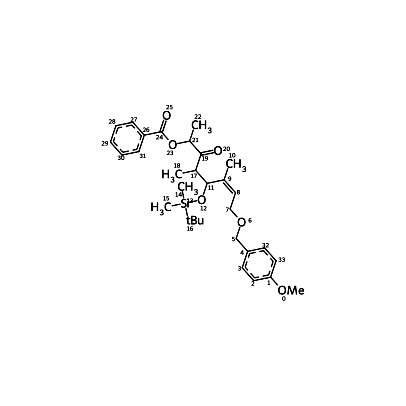 COc1ccc(COCC=C(C)C(O[Si](C)(C)C(C)(C)C)C(C)C(=O)C(C)OC(=O)c2ccccc2)cc1